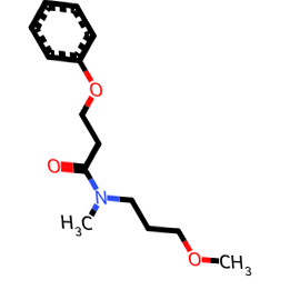 COCCCN(C)C(=O)CCOc1ccccc1